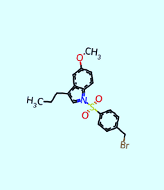 CCCc1cn(S(=O)(=O)c2ccc(CBr)cc2)c2ccc(OC)cc12